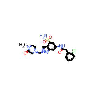 CN1CCN(Cn2cc3c(S(N)(=O)=O)cc(NC(=O)Cc4ccccc4Cl)cc3n2)CC1=O